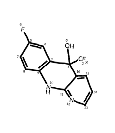 OC1(C(F)(F)F)c2cc(F)ccc2Nc2ncccc21